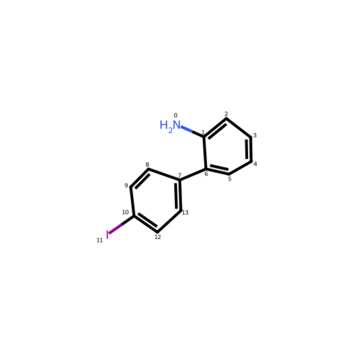 Nc1ccccc1-c1ccc(I)cc1